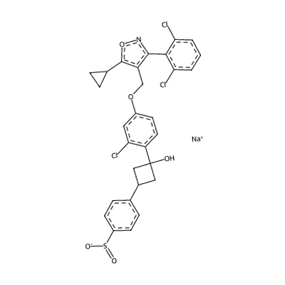 O=S([O-])c1ccc(C2CC(O)(c3ccc(OCc4c(-c5c(Cl)cccc5Cl)noc4C4CC4)cc3Cl)C2)cc1.[Na+]